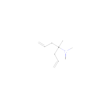 [CH2]C(CC=C)(CC=C)N(C)C